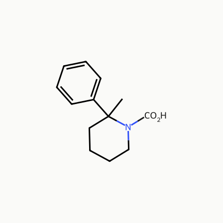 CC1(c2ccccc2)CCCCN1C(=O)O